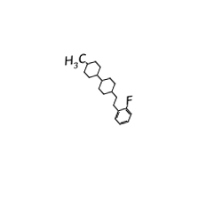 CC1CCC(C2CCC(CCc3ccccc3F)CC2)CC1